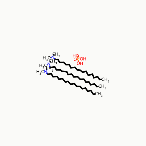 CCCCCCCCCCCCCCCCCCN(C)C.CCCCCCCCCCCCCCCCCCN(C)C.CCCCCCCCCCCCCCCCCCN(C)C.O=P(O)(O)O